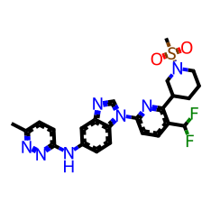 Cc1ccc(Nc2ccc3c(c2)ncn3-c2ccc(C(F)F)c(C3CCCN(S(C)(=O)=O)C3)n2)nn1